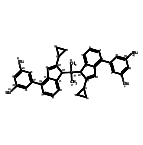 CC(C)(C)c1cc(-c2cccc3c2C=C(C2CC2)C3[Si](C)(C)C2C(C3CC3)=Cc3c(-c4cc(C(C)(C)C)cc(C(C)(C)C)c4)cccc32)cc(C(C)(C)C)c1